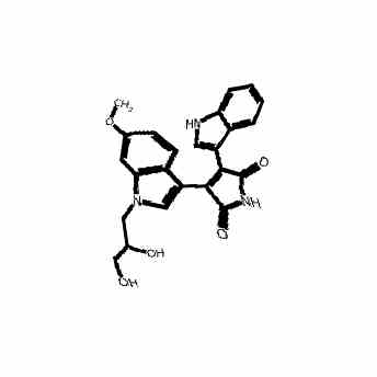 COc1ccc2c(C3=C(c4c[nH]c5ccccc45)C(=O)NC3=O)cn(CC(O)CO)c2c1